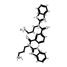 NCCCN(C(=O)c1cccc(C(=O)N(CCCN)c2nc3ccccc3s2)c1)c1nc2ccccc2s1